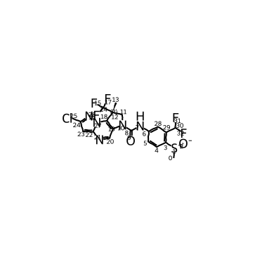 C[S+]([O-])c1ccc(NC(=O)N2C[C@@](C)(C(F)(F)F)c3c2cnc2cc(Cl)nn32)cc1C(F)F